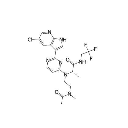 CC(=O)N(C)CCN(c1ccnc(-c2c[nH]c3ncc(Cl)cc23)n1)[C@@H](C)C(=O)NCC(F)(F)F